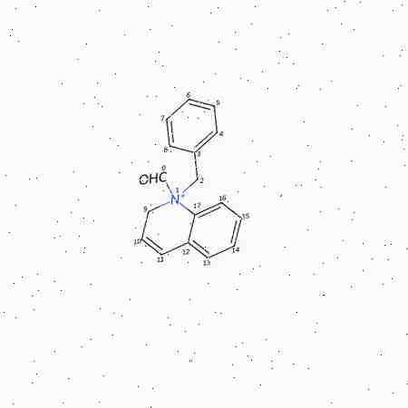 O=C[N+]1(Cc2ccccc2)CC=Cc2ccccc21